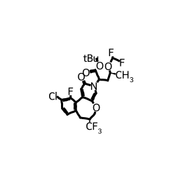 C[C@@H](CC(C(=O)OC(C)(C)C)n1cc2c(cc1=O)-c1c(ccc(Cl)c1F)C[C@@H](C(F)(F)F)CO2)OC(F)F